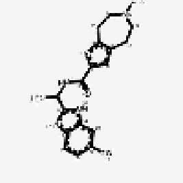 CC(NC(=O)c1cc2c(s1)CCN(C)CC2)c1nc2ccc(C#N)cc2[nH]1